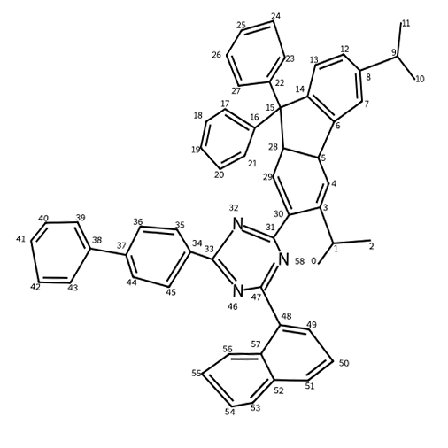 CC(C)C1=CC2c3cc(C(C)C)ccc3C(c3ccccc3)(c3ccccc3)C2C=C1c1nc(-c2ccc(-c3ccccc3)cc2)nc(-c2cccc3ccccc23)n1